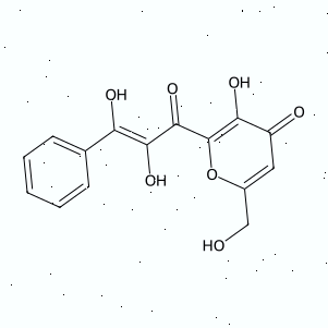 O=C(C(O)=C(O)c1ccccc1)c1oc(CO)cc(=O)c1O